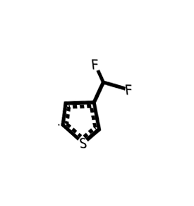 FC(F)c1c[c]sc1